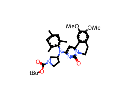 COc1cc2c(cc1OC)-c1cc(N(c3c(C)cc(C)cc3C)C3CCN(C(=O)OC(C)(C)C)C3)nc(=O)n1CC2